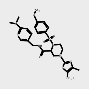 Cc1nc(N2CCN(S(=O)(=O)c3ccc(OC(F)(F)F)cc3)C(C(=O)NCc3ccc(N(C)C)nc3)C2)sc1C(=O)O